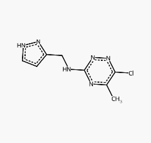 Cc1nc(NCc2cc[nH]n2)nnc1Cl